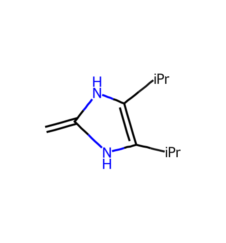 C=C1NC(C(C)C)=C(C(C)C)N1